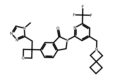 Cn1cnnc1CC1(c2ccc3c(c2)C(=O)N(c2cc(CN4CC5(CCC5)C4)cc(C(F)(F)F)n2)C3)COC1